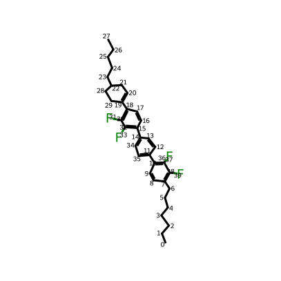 CCCCCCCc1ccc(-c2ccc(-c3ccc(C4=CCC(CCCCC)CC4)c(F)c3F)cc2)c(F)c1F